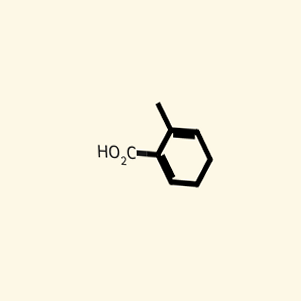 CC1=CCCC=C1C(=O)O